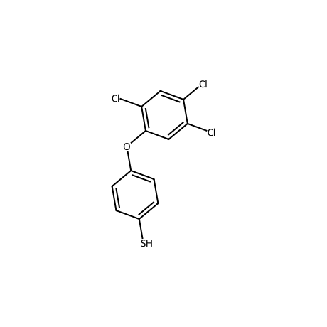 Sc1ccc(Oc2cc(Cl)c(Cl)cc2Cl)cc1